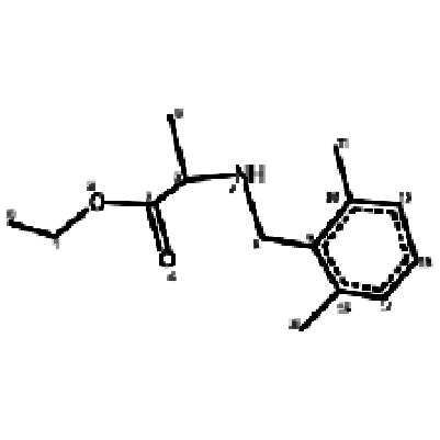 CCOC(=O)C(C)NCc1c(C)cccc1C